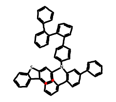 c1ccc(-c2ccc(-c3ccccc3)c(N(c3ccc(-c4ccccc4-c4ccccc4-c4ccccc4)cc3)c3ccc4c(c3)sc3ccccc34)c2)cc1